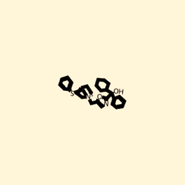 O[C@](c1ccccc1)(c1ncc(C[N+]23CCC(CC2)C(Sc2ccccc2)C3)o1)C1CCCCC1